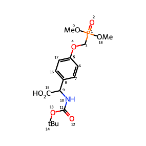 COP(=O)(COc1ccc(C(NC(=O)OC(C)(C)C)C(=O)O)cc1)OC